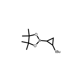 CC(C)(C)C1CC1B1OC(C)(C)C(C)(C)O1